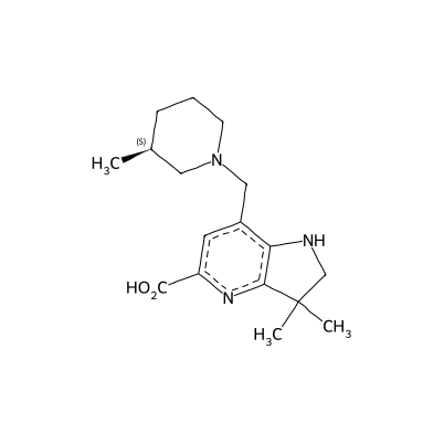 C[C@H]1CCCN(Cc2cc(C(=O)O)nc3c2NCC3(C)C)C1